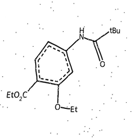 CCOC(=O)c1ccc(NC(=O)C(C)(C)C)cc1OCC